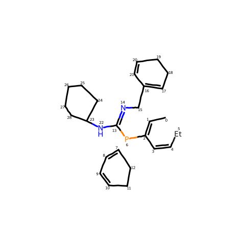 C/C=C(\C=C/CC)[P@@](C1=CC=CCC1)/C(=N\CC1=CCCC=C1)NC1CCCCC1